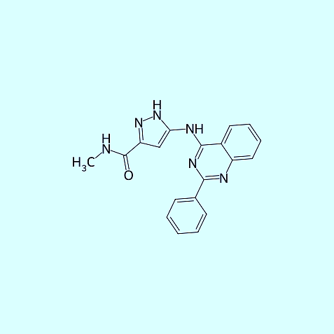 CNC(=O)c1cc(Nc2nc(-c3ccccc3)nc3ccccc23)[nH]n1